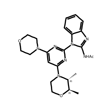 CC(=O)Nc1nc2ccccc2n1-c1nc(N2CCOCC2)cc(N2CCO[C@H](C)[C@H]2C)n1